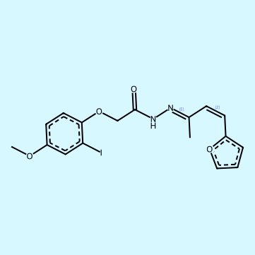 COc1ccc(OCC(=O)N/N=C(C)/C=C\c2ccco2)c(I)c1